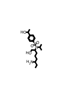 CCC(N)CCCC(CO)N(C(C)C)S(=O)(=O)c1ccc(C(C)O)cc1